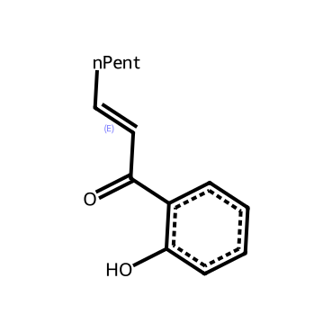 CCCCC/C=C/C(=O)c1ccccc1O